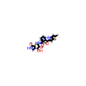 Cc1cc2[nH]c(C(=O)N3C4CCC(CC4)[C@H]3C(=O)N[C@@H](C[C@@H]3CCNC3=O)C(=O)CO)cc2s1